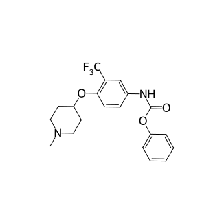 CN1CCC(Oc2ccc(NC(=O)Oc3ccccc3)cc2C(F)(F)F)CC1